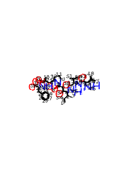 CC[C@H](C)C(C(CC(=O)N1CCCC1C(OC)C(C)C(=O)NC(Cc1c#cccc1)C(=O)O)OC)N(C)C(=O)[C@@H](NC(=O)C(NC)C(C)C)C(C)C